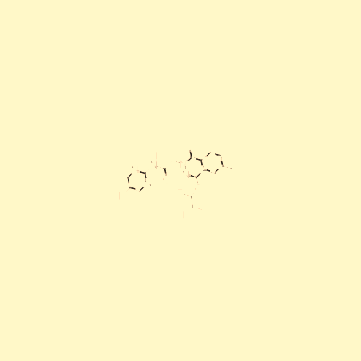 O=C(Cn1nc(OC(F)C(F)F)c2cc(Br)ccc2c1=O)Nc1ncc(F)cn1